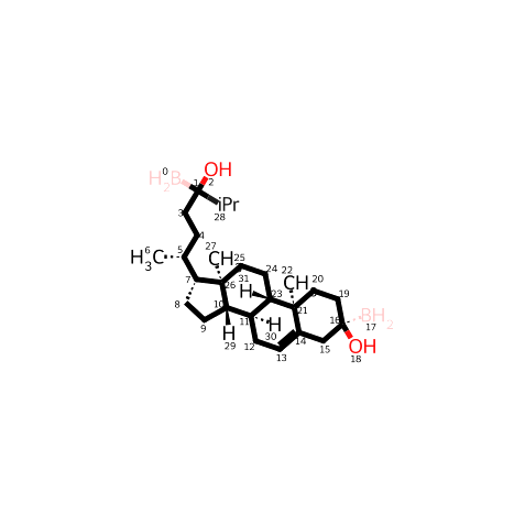 BC(O)(CC[C@@H](C)[C@H]1CC[C@H]2[C@@H]3CC=C4C[C@](B)(O)CC[C@]4(C)[C@H]3CC[C@]12C)C(C)C